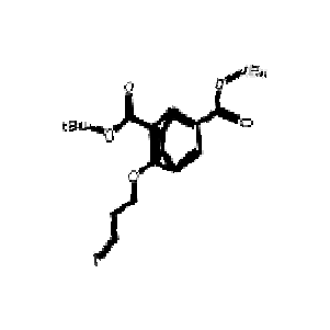 CC(C)(C)OC(=O)c1cc2ccc1C(C(=O)OC(C)(C)C)C2OCCCI